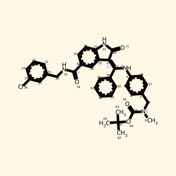 CN(Cc1ccc(N/C(=C2\C(=O)Nc3ccc(C(=O)NCc4cccc(Cl)c4)cc32)c2ccccc2)cc1)C(=O)OC(C)(C)C